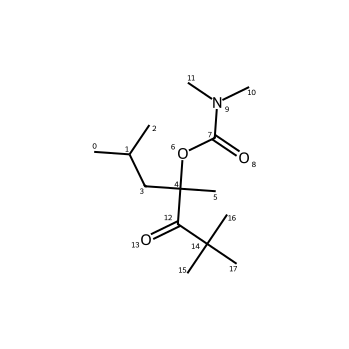 CC(C)CC(C)(OC(=O)N(C)C)C(=O)C(C)(C)C